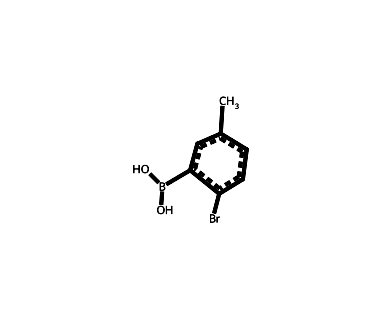 Cc1ccc(Br)c(B(O)O)c1